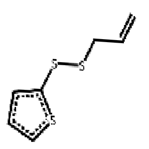 C=CCSSc1cccs1